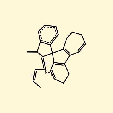 C=C1/C(=C(N)\C=C/C)C2(C3=C(CCC=C3)C3=C2CCCC=C3)c2ccccc21